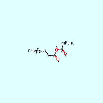 CCCCCCCCCC(=O)OC(=O)CCCCC